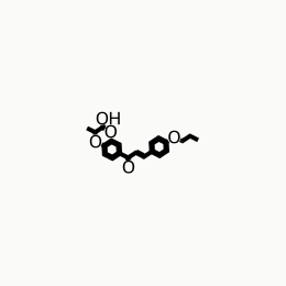 CCCOc1ccc(/C=C/C(=O)c2ccc(OC(C)C(=O)O)cc2)cc1